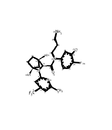 Cc1cc(C(F)(F)F)cc(N2[C@@H]3CC[C@@H](C3)[C@H]2C(=O)N(CCCN)c2ccc(F)c(Cl)c2)n1